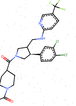 CC(=O)N1CCC(C(=O)N2CC(CNc3ccc(C(F)(F)F)cn3)[C@@H](c3ccc(Cl)c(Cl)c3)C2)CC1